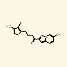 Cc1csc(CCCC(=O)c2cc3ncc(O)cn3n2)c1C(C)C